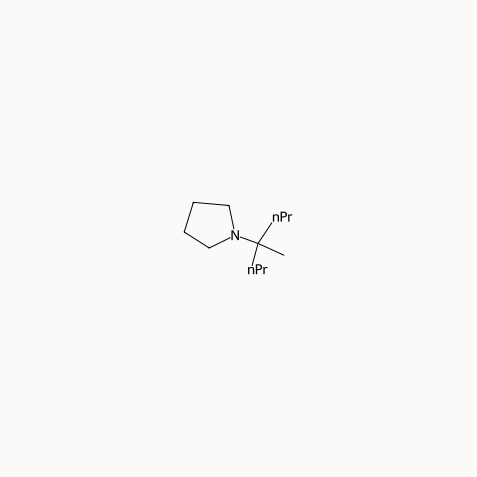 CCCC(C)(CCC)N1CCCC1